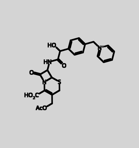 CC(=O)OCC1=C(C(=O)O)N2C(=O)C(NC(=O)C(O)c3ccc(C[n+]4ccccc4)cc3)C2SC1